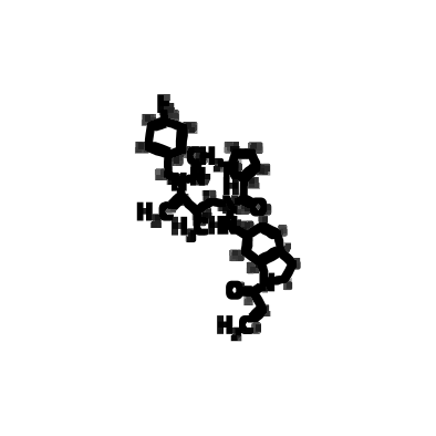 C=CC(=O)N1CCc2ccc(NN(CC(C)C(=C)N(Cc3ccc(F)cc3)N=C)C(=O)c3ccc[nH]3)cc21